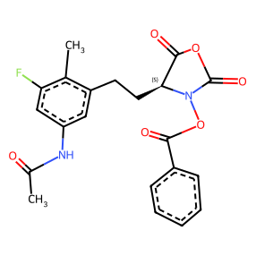 CC(=O)Nc1cc(F)c(C)c(CC[C@H]2C(=O)OC(=O)N2OC(=O)c2ccccc2)c1